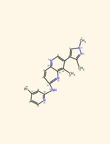 Cc1nn(C)cc1-c1cnc2ccc(Nc3cc(C(C)C)ccn3)nc2c1C